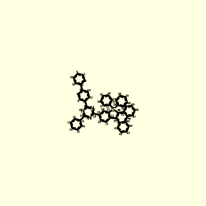 c1ccc(-c2ccc(-c3nc(-c4ccccc4)nc(-c4ccc5c(c4)S(c4ccccc4)(c4ccccc4)c4c-5c5ccccc5c5ccccc45)n3)cc2)cc1